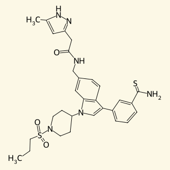 CCCS(=O)(=O)N1CCC(n2cc(-c3cccc(C(N)=S)c3)c3ccc(CNC(=O)Cc4cc(C)[nH]n4)cc32)CC1